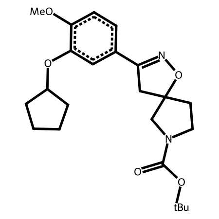 COc1ccc(C2=NOC3(CCN(C(=O)OC(C)(C)C)C3)C2)cc1OC1CCCC1